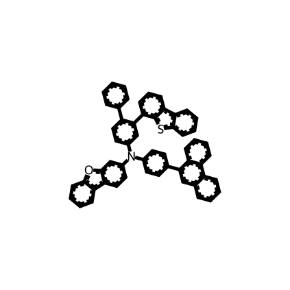 c1ccc(-c2ccc(N(c3ccc(-c4cc5ccccc5c5ccccc45)cc3)c3ccc4c(c3)oc3ccccc34)cc2-c2cccc3c2sc2ccccc23)cc1